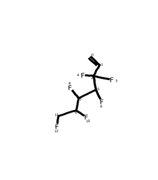 C=CC(F)(F)C(F)C(F)C(F)CF